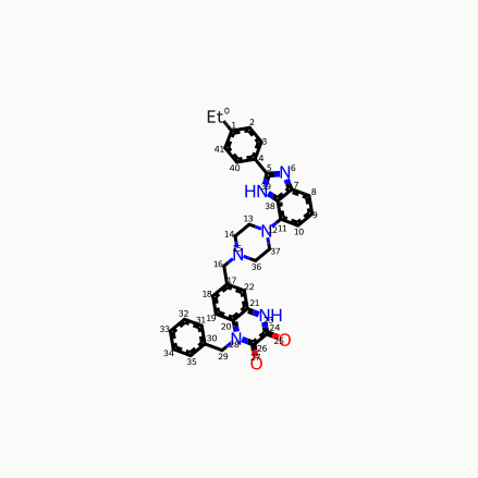 CCc1ccc(-c2nc3cccc(N4CCN(Cc5ccc6c(c5)[nH]c(=O)c(=O)n6Cc5ccccc5)CC4)c3[nH]2)cc1